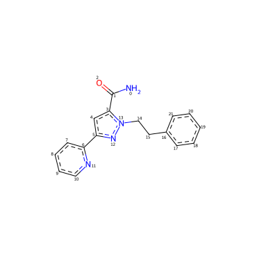 NC(=O)c1cc(-c2ccccn2)nn1CCc1ccccc1